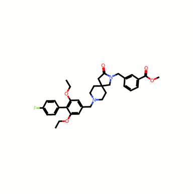 CCOc1cc(CN2CCC3(CC2)CC(=O)N(Cc2cccc(C(=O)OC)c2)C3)cc(OCC)c1-c1ccc(F)cc1